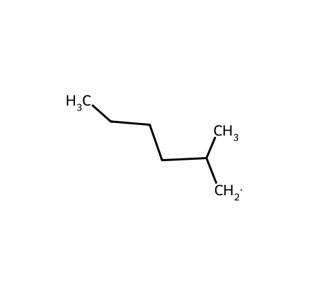 [CH2]C(C)CCCC